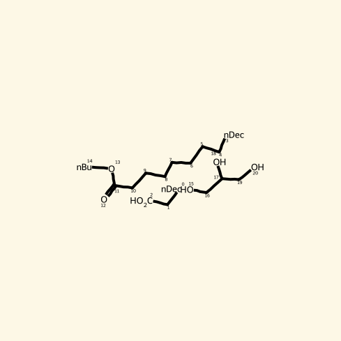 CCCCCCCCCCCC(=O)O.CCCCCCCCCCCCCCCCCC(=O)OCCCC.OCC(O)CO